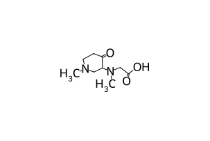 CN1CCC(=O)C(N(C)CC(=O)O)C1